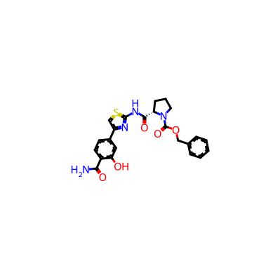 NC(=O)c1ccc(-c2csc(NC(=O)[C@@H]3CCCN3C(=O)OCc3ccccc3)n2)cc1O